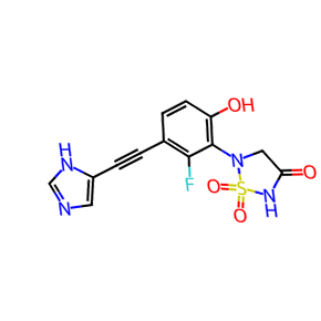 O=C1CN(c2c(O)ccc(C#Cc3cnc[nH]3)c2F)S(=O)(=O)N1